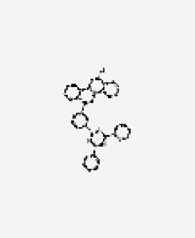 Clc1cc2c3ccccc3c(-c3cccc(-c4nc(-c5ccccc5)nc(-c5ccccc5)n4)c3)cc2c2ccccc12